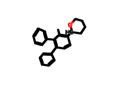 Cc1c([SiH]2CCCCO2)ccc(-c2ccccc2)c1-c1ccccc1